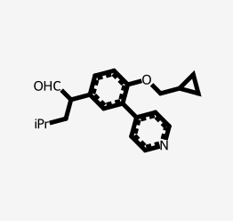 CC(C)CC(C=O)c1ccc(OCC2CC2)c(-c2ccncc2)c1